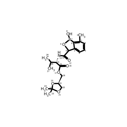 Cc1cccc2c1B(O)OC2C(=O)N[C@H](C(=O)OC[C@H]1COC(C)(C)O1)C(C)C